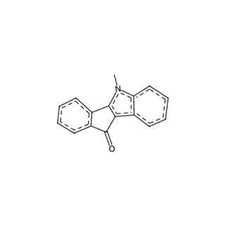 Cn1c2c(c3ccccc31)C(=O)c1ccccc1-2